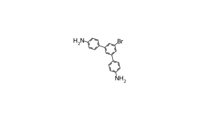 Nc1ccc(-c2cc(Br)cc(-c3ccc(N)cc3)c2)cc1